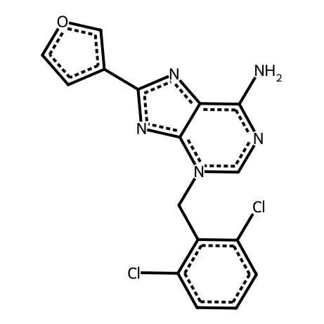 Nc1ncn(Cc2c(Cl)cccc2Cl)c2nc(-c3ccoc3)nc1-2